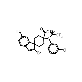 COC(=O)C1(N(C(=O)C(F)(F)F)c2cccc(Cl)c2)CCC2(CC1)C(Br)=Cc1ccc(O)cc12